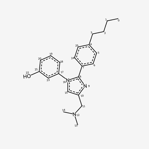 CCCCc1ccc(-c2nc(CN(C)C)cn2-c2cccc(O)c2)cc1